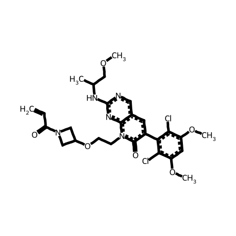 C=CC(=O)N1CC(OCCn2c(=O)c(-c3c(Cl)c(OC)cc(OC)c3Cl)cc3cnc(NC(C)COC)nc32)C1